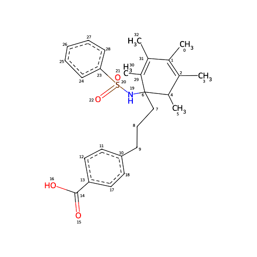 CC1=C(C)C(C)C(CCCc2ccc(C(=O)O)cc2)(NS(=O)(=O)c2ccccc2)C(C)=C1C